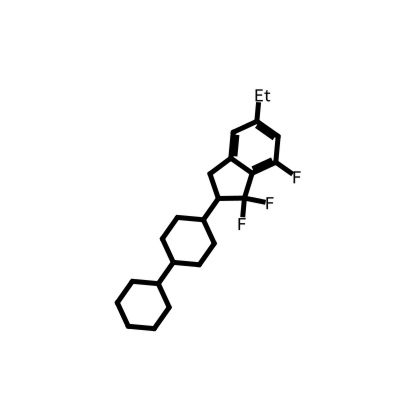 CCc1cc(F)c2c(c1)CC(C1CCC(C3CCCCC3)CC1)C2(F)F